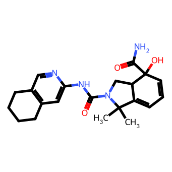 CC1(C)C2=CC=CC(O)(C(N)=O)C2CN1C(=O)Nc1cc2c(cn1)CCCC2